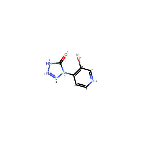 O=c1[nH]nnn1-c1ccncc1Br